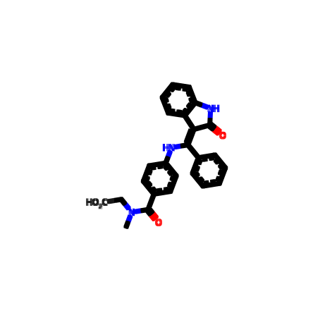 CN(CC(=O)O)C(=O)c1ccc(NC(=C2C(=O)Nc3ccccc32)c2ccccc2)cc1